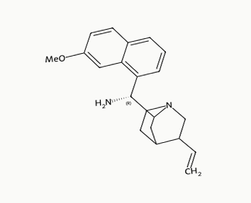 C=CC1CN2CCC1CC2[C@H](N)c1cccc2ccc(OC)cc12